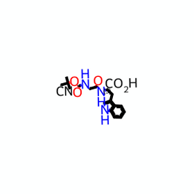 CC(C)(CC#N)OC(=O)NCC(=O)N[C@@H](Cc1c[nH]c2ccccc12)C(=O)O